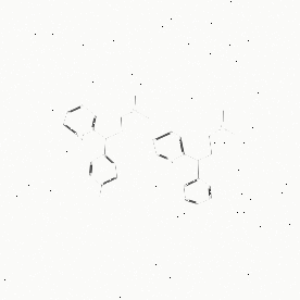 CN(C)CCC(c1ccc(Cl)cc1)c1ccccn1.CN(C)CCC(c1ccccc1)c1ccccn1